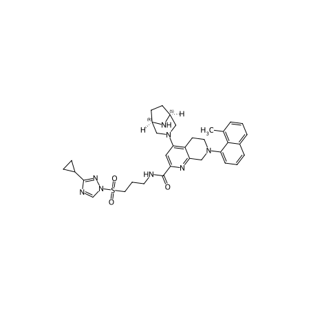 Cc1cccc2cccc(N3CCc4c(N5C[C@H]6CC[C@@H](C5)N6)cc(C(=O)NCCCS(=O)(=O)n5cnc(C6CC6)n5)nc4C3)c12